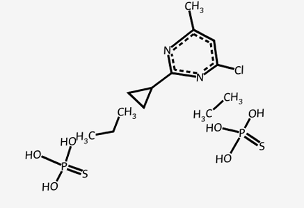 CC.CCC.Cc1cc(Cl)nc(C2CC2)n1.OP(O)(O)=S.OP(O)(O)=S